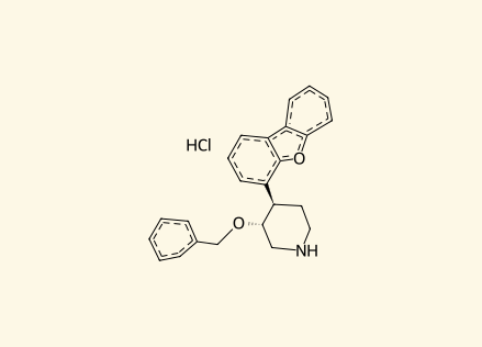 Cl.c1ccc(CO[C@H]2CNCC[C@@H]2c2cccc3c2oc2ccccc23)cc1